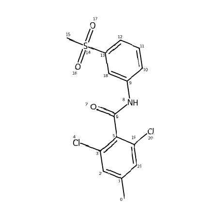 Cc1cc(Cl)c(C(=O)Nc2cccc(S(C)(=O)=O)c2)c(Cl)c1